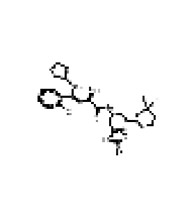 N=C(/C=C(\NC1CCCC1)c1ccccc1Cl)C(=O)N[C@@H](CCN1CCCC(F)(F)C1)Cc1nnc(C(F)(F)F)[nH]1